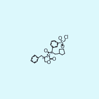 O=C1OC[C@@H](Cc2ccccc2)N1C(=O)[C@H](CC1CCCC1)c1cccc(S(=O)(=O)CCl)c1